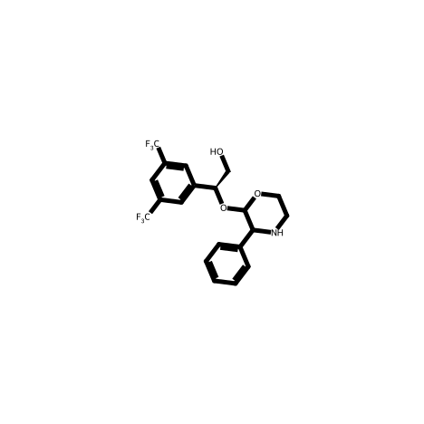 OC[C@@H](OC1OCCNC1c1ccccc1)c1cc(C(F)(F)F)cc(C(F)(F)F)c1